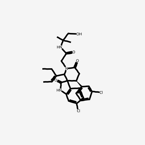 CC=C(CC)C1N(CC(=O)NC(C)(C)CO)C(=O)C[C@@H](c2cccc(Cl)c2)C12C(=O)Nc1cc(Cl)ccc12